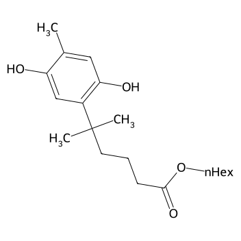 CCCCCCOC(=O)CCCC(C)(C)c1cc(O)c(C)cc1O